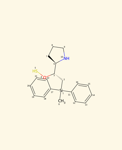 C[Si](C[C@H](OS)[C@H]1CCCN1)(c1ccccc1)c1ccccc1